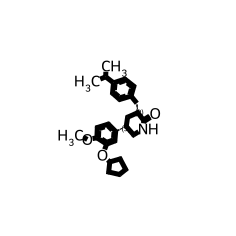 COc1ccc([C@H]2CNC(=O)[C@@H](Cc3ccc(C(C)C)cc3)C2)cc1OC1CCCC1